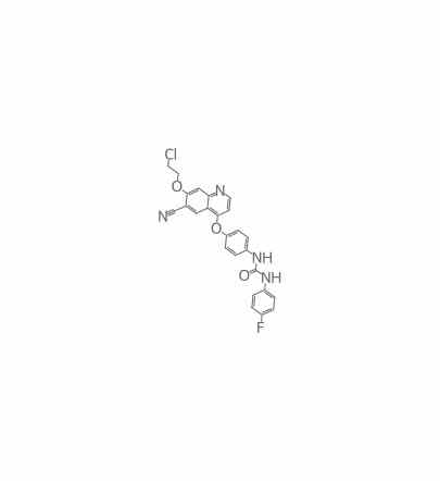 N#Cc1cc2c(Oc3ccc(NC(=O)Nc4ccc(F)cc4)cc3)ccnc2cc1OCCCl